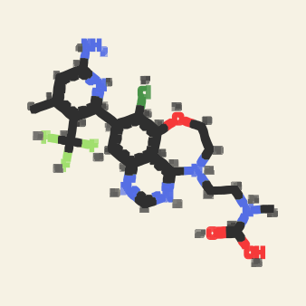 Cc1cc(N)nc(-c2cc3ncnc4c3c(c2Cl)OCCN4CCN(C)C(=O)O)c1C(F)(F)F